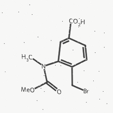 COC(=O)N(C)c1cc(C(=O)O)ccc1CBr